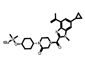 C=C(C)c1cc(C2CC2)cc2c1nc(C(=O)N1CCN([C@H]3CC[C@H](O[Si](C)(C)C(C)(C)C)CC3)C(=O)C1)n2C